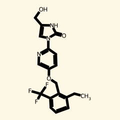 CCc1cccc(C(F)(F)F)c1COc1ccc(-n2cc(CO)[nH]c2=O)nc1